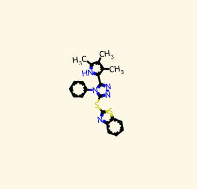 Cc1[nH]c(-c2nnc(Sc3nc4ccccc4s3)n2-c2ccccc2)c(C)c1C